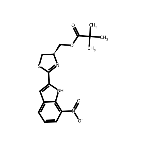 CC(C)(C)C(=O)OC[C@@H]1CSC(c2cc3cccc([N+](=O)[O-])c3[nH]2)=N1